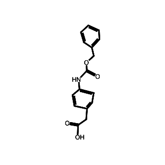 O=C(O)Cc1ccc(NC(=O)OCc2ccccc2)cc1